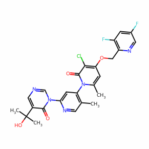 Cc1cnc(-n2cncc(C(C)(C)O)c2=O)cc1-n1c(C)cc(OCc2ncc(F)cc2F)c(Cl)c1=O